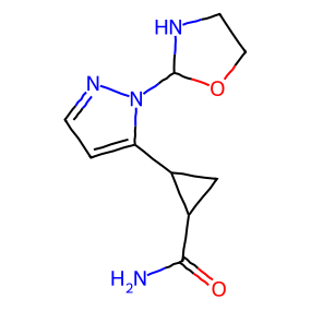 NC(=O)C1CC1c1ccnn1C1NCCO1